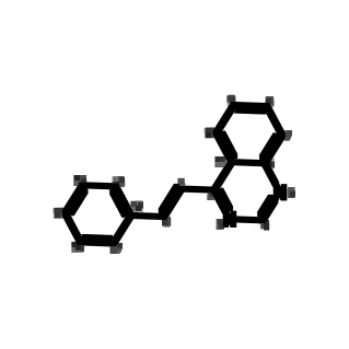 C(=Cc1ncnc2ccccc12)c1ccccc1